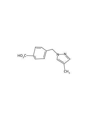 Cc1cnn(Cc2ccc(C(=O)O)cc2)c1